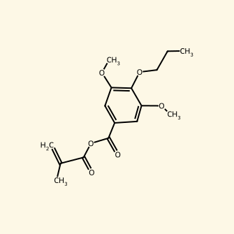 C=C(C)C(=O)OC(=O)c1cc(OC)c(OCCC)c(OC)c1